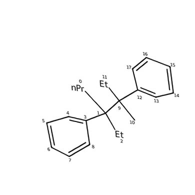 CCCC(CC)(c1ccccc1)C(C)(CC)c1ccccc1